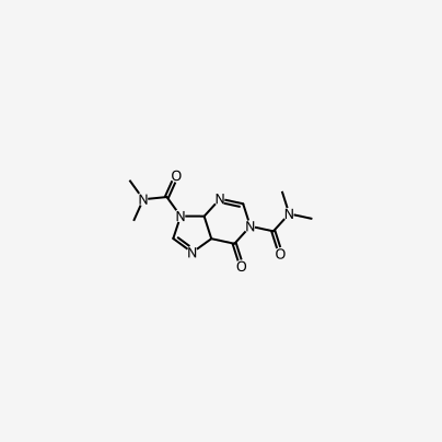 CN(C)C(=O)N1C=NC2C(N=CN2C(=O)N(C)C)C1=O